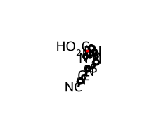 CCn1cncc1Cn1c(CN2CCC(Sc3cccc(COc4ccc(C#N)cc4F)n3)CC2)nc2ccc(C(=O)O)cc21